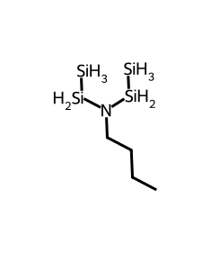 CCCCN([SiH2][SiH3])[SiH2][SiH3]